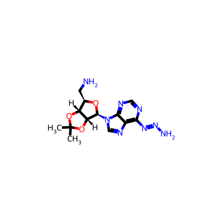 CC1(C)O[C@@H]2[C@H](O1)[C@@H](CN)O[C@H]2n1cnc2c(N=NN)ncnc21